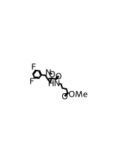 COC(=O)CCCNC(=O)C12CC1C(c1cc(F)cc(F)c1)=NO2